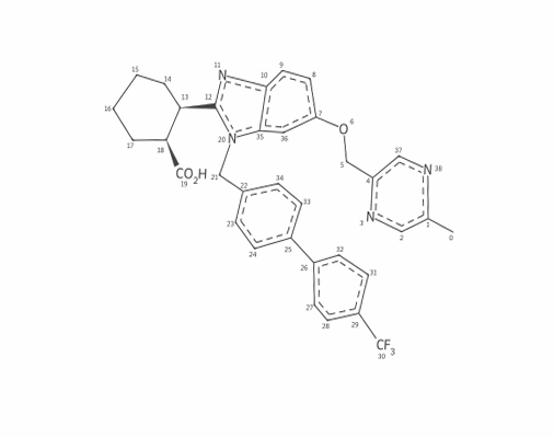 Cc1cnc(COc2ccc3nc([C@@H]4CCCC[C@@H]4C(=O)O)n(Cc4ccc(-c5ccc(C(F)(F)F)cc5)cc4)c3c2)cn1